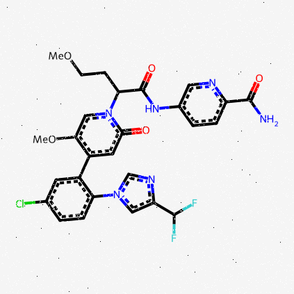 COCCC(C(=O)Nc1ccc(C(N)=O)nc1)n1cc(OC)c(-c2cc(Cl)ccc2-n2cnc(C(F)F)c2)cc1=O